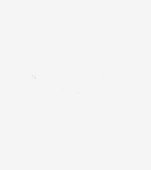 C=C(C(=O)OOCC)C(C)C#N